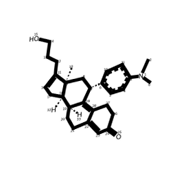 CN(C)c1ccc([C@H]2C[C@]3(C)C(CCCO)=CC[C@@H]3[C@@H]3CCC4=CC(=O)CCC4=C32)cc1